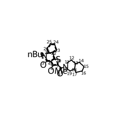 CCCCn1c(=O)c2c(OC)c(C(=O)N3CCC4CCCCC4C3)sc2c2ccccc21